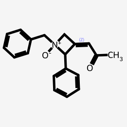 CC(=O)/C=C1/C[N+]([O-])(Cc2ccccc2)C1c1ccccc1